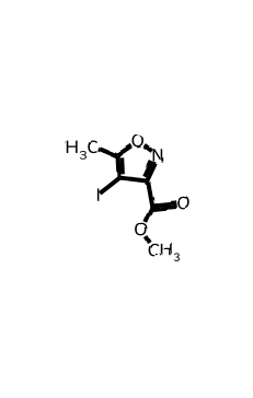 COC(=O)c1noc(C)c1I